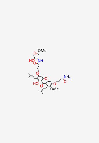 COC(=O)C[C@H](NC(=O)CCCOc1cc2oc3cc(OCCCC(N)=O)c(OC)c(CC=C(C)C)c3c(=O)c2c(O)c1CC=C(C)C)C(C)O